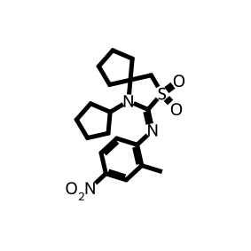 Cc1cc([N+](=O)[O-])ccc1N=C1N(C2CCCC2)C2(CCCC2)CS1(=O)=O